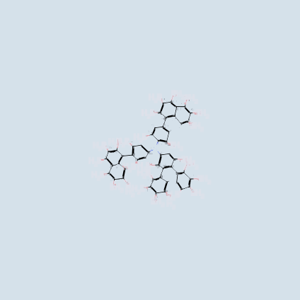 Bc1cc(-c2c(B)cc(N(c3cc(B)c(-c4c(B)c(B)c(B)c5c(B)c(B)c(B)cc45)c(B)c3)c3c(B)cc(-c4c(B)c(B)c(B)c5c(B)c(B)c(B)cc45)cc3B)c(B)c2-c2cc(B)c(B)c(B)c2B)c(B)c(B)c1B